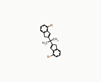 CC(C)(C1=Cc2c(Br)cccc2C1)C1=Cc2c(Br)cccc2C1